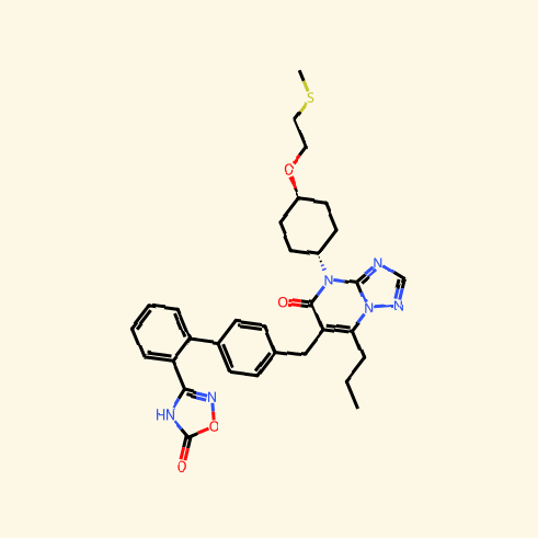 CCCc1c(Cc2ccc(-c3ccccc3-c3noc(=O)[nH]3)cc2)c(=O)n([C@H]2CC[C@H](OCCSC)CC2)c2ncnn12